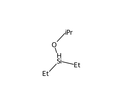 CC[SiH](CC)OC(C)C